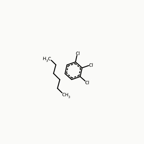 CCCCCC.Clc1cccc(Cl)c1Cl